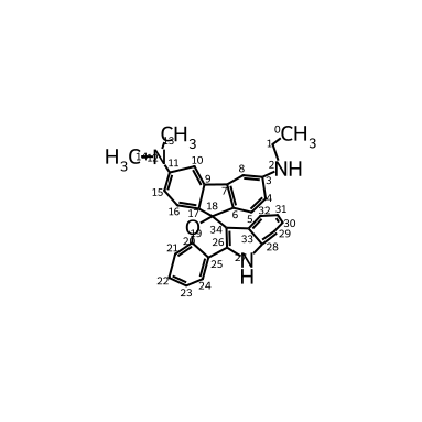 CCNc1ccc2c(c1)-c1cc(N(C)C)ccc1C21Oc2ccccc2-c2[nH]c3ccccc3c21